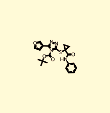 CC(C)(C)OC(=O)n1c(SC2(C(=O)Nc3ccccc3)CC2)nnc1-c1ccoc1